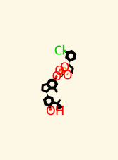 Cc1cc(OCP2(=O)OCC[C@@H](c3cccc(Cl)c3)O2)cc2c1[C@@H](c1ccc(O)c(C3(C)CC3)c1)CC2